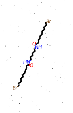 O=C(CCCCCCCCCCBr)NCCCCCCNC(=O)CCCCCCCCCCBr